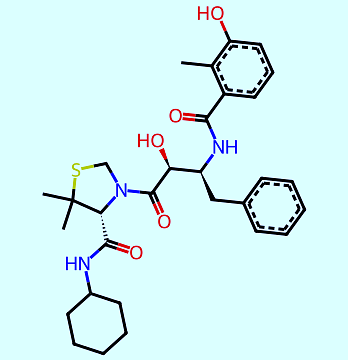 Cc1c(O)cccc1C(=O)N[C@@H](Cc1ccccc1)[C@H](O)C(=O)N1CSC(C)(C)[C@H]1C(=O)NC1CCCCC1